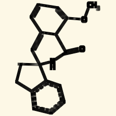 COC1=CC=CC2=CC3([CH]Cc4ccccc43)NC(=O)C21